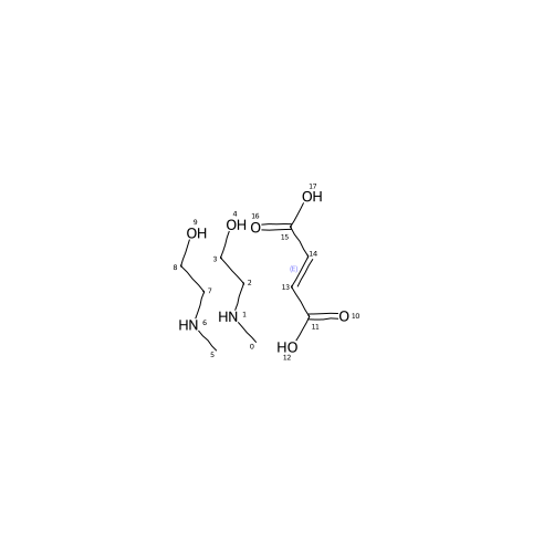 CNCCO.CNCCO.O=C(O)/C=C/C(=O)O